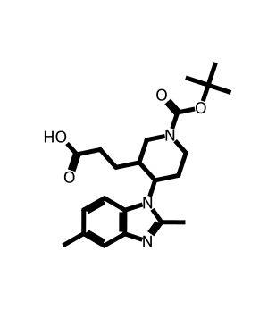 Cc1ccc2c(c1)nc(C)n2C1CCN(C(=O)OC(C)(C)C)CC1CCC(=O)O